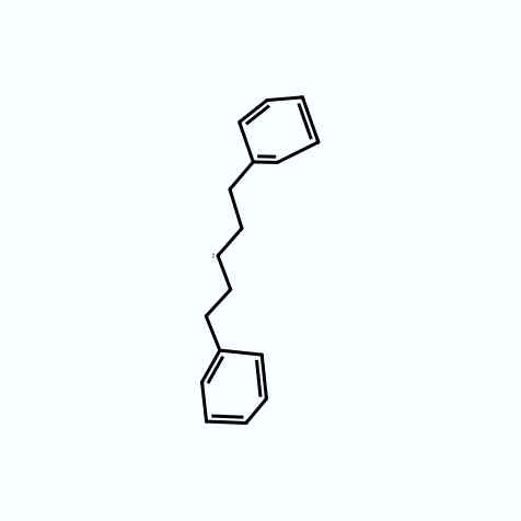 [C](CCc1ccccc1)CCc1ccccc1